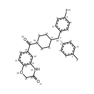 Cc1ccc([C@@H](c2ccc(F)cc2)C2CCN(C(=O)c3ccc4c(c3)NC(=O)CO4)CC2)cc1